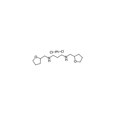 C(CNCC1CCCO1)CNCC1CCCO1.[Cl][Pt][Cl]